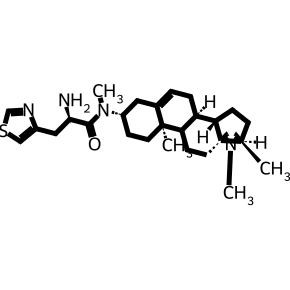 C[C@H]1[C@H]2CC[C@H]3[C@@H]4CC=C5C[C@@H](N(C)C(=O)[C@H](N)Cc6cscn6)CC[C@]5(C)C4CC[C@]23CN1C